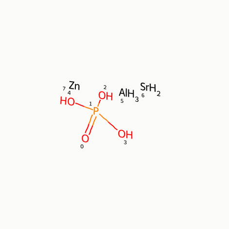 O=P(O)(O)O.[AlH3].[SrH2].[Zn]